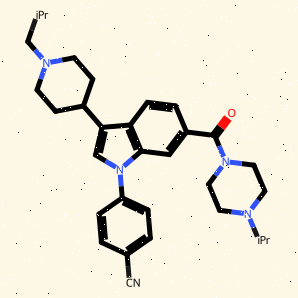 CC(C)CN1CCC(c2cn(-c3ccc(C#N)cc3)c3cc(C(=O)N4CCN(C(C)C)CC4)ccc23)CC1